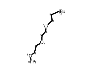 CCCOCCOCCOCCC(C)CC